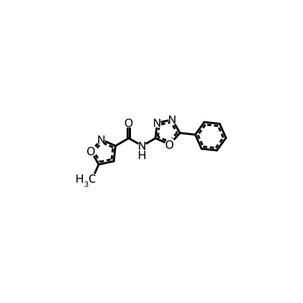 Cc1cc(C(=O)Nc2nnc(-c3ccccc3)o2)no1